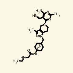 CCNCC(=O)NC12CCC(Cn3nc(C)c4c3CCN(c3nc(C)nc(N)c3C=N)C4)(CC1)CC2